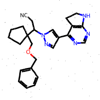 N#CCC(n1cc(-c2ncnc3c2CCN3)cn1)C1(COCc2ccccc2)CCCC1